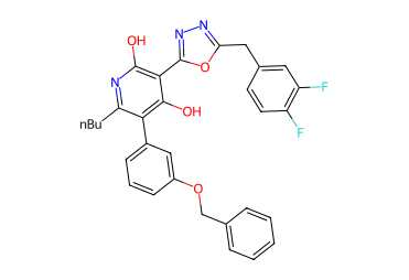 CCCCc1nc(O)c(-c2nnc(Cc3ccc(F)c(F)c3)o2)c(O)c1-c1cccc(OCc2ccccc2)c1